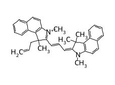 C=CCC1(C)C(/C=C/C=C2/N(C)c3ccc4ccccc4c3C2(C)C)=[N+](C)c2ccc3ccccc3c21